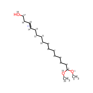 COC(CCCCCCCCCCC/C=C/CCO)OC